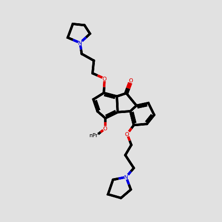 CCCOc1ccc(OCCCN2CCCC2)c2c1-c1c(OCCCN3CCCC3)cccc1C2=O